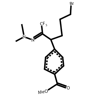 COC(=O)c1ccc(C(CCCBr)C(=NN(C)C)C(F)(F)F)cc1